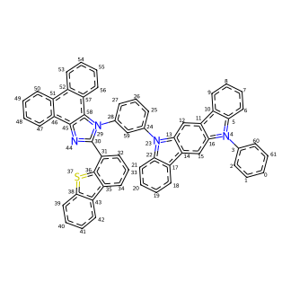 c1ccc(-n2c3ccccc3c3cc4c(cc32)c2ccccc2n4-c2cccc(-n3c(-c4cccc5c4sc4ccccc45)nc4c5ccccc5c5ccccc5c43)c2)cc1